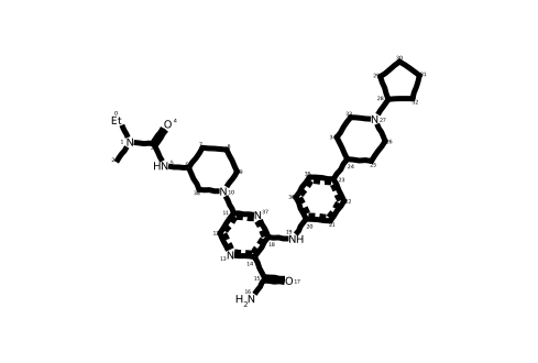 CCN(C)C(=O)NC1CCCN(c2cnc(C(N)=O)c(Nc3ccc(C4CCN(C5CCCC5)CC4)cc3)n2)C1